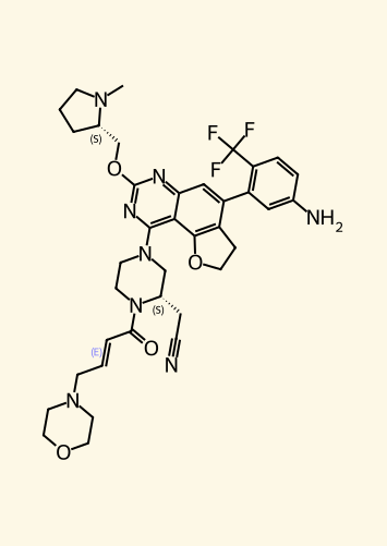 CN1CCC[C@H]1COc1nc(N2CCN(C(=O)/C=C/CN3CCOCC3)[C@@H](CC#N)C2)c2c3c(c(-c4cc(N)ccc4C(F)(F)F)cc2n1)CCO3